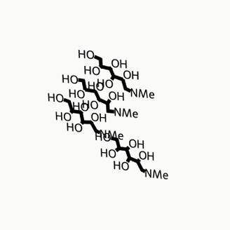 CNCC(O)C(O)C(O)C(O)CO.CNCC(O)C(O)C(O)C(O)CO.CNCC(O)C(O)C(O)C(O)CO.CNCC(O)C(O)C(O)C(O)CO